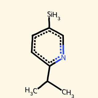 CC(C)c1ccc([SiH3])cn1